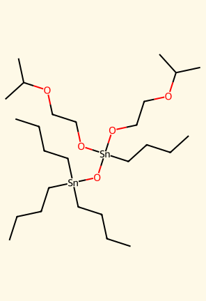 CCC[CH2][Sn]([CH2]CCC)([CH2]CCC)[O][Sn]([CH2]CCC)([O]CCOC(C)C)[O]CCOC(C)C